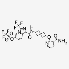 NC(=O)c1cccnc1OC1CC2(CC(NC(=O)c3nc(C(F)(F)F)n4cc(OS(=O)(=O)C(F)(F)F)ccc34)C2)C1